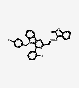 O=C1N=c2ccccc2=C1N/N=C/c1cc2c3ccccc3n(Cc3ccc(F)cc3)c2c(-c2ccccc2Cl)n1